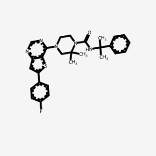 CC(C)(NC(=O)N1CCN(c2ncnc3cc(-c4ccc(F)cc4)sc23)CC1(C)C)c1ccccc1